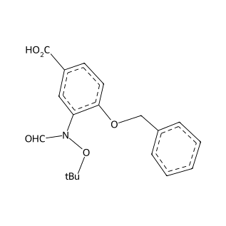 CC(C)(C)ON(C=O)c1cc(C(=O)O)ccc1OCc1ccccc1